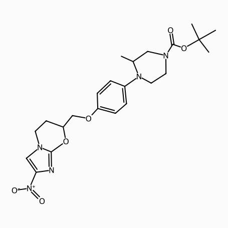 CC1CN(C(=O)OC(C)(C)C)CCN1c1ccc(OCC2CCn3cc([N+](=O)[O-])nc3O2)cc1